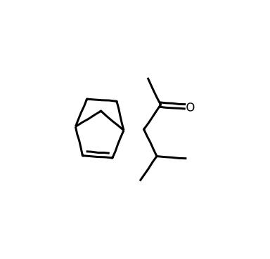 C1=CC2CCC1C2.CC(=O)CC(C)C